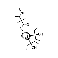 CCC(O)(CC)c1c(C(O)(CC)CC)c2oc1cc2OC(=O)C(C)(C)C(C)NI